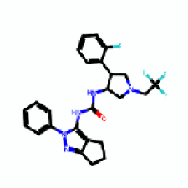 O=C(Nc1c2c(nn1-c1ccccc1)CCC2)NC1CN(CC(F)(F)F)CC1c1ccccc1F